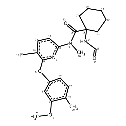 COc1cc(Oc2nc(N(C)C(=O)C3(NC=O)CCCCC3)ccc2F)ccc1C